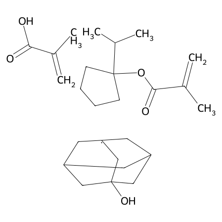 C=C(C)C(=O)O.C=C(C)C(=O)OC1(C(C)C)CCCC1.OC12C[C]3CC(CC(C3)C1)C2